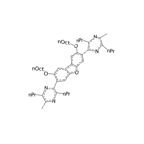 CCCCCCCCOc1cc2c(cc1-c1nc(CCC)c(C)nc1CCC)oc1cc(-c3nc(CCC)c(C)nc3CCC)c(OCCCCCCCC)cc12